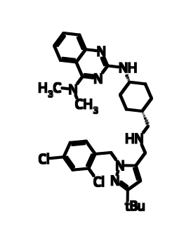 CN(C)c1nc(N[C@H]2CC[C@@H](CNCc3cc(C(C)(C)C)nn3Cc3ccc(Cl)cc3Cl)CC2)nc2ccccc12